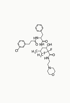 CC(C)[C@H](NC(=O)C(Cc1ccccc1)NC(=O)CCc1cccc(Cl)c1)C(O)C(F)(F)C(=O)NCCN1CCOCC1